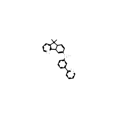 CC1(C)c2cccnc2C2C=C(Nc3cccc(-c4ccccn4)c3)C=CC21